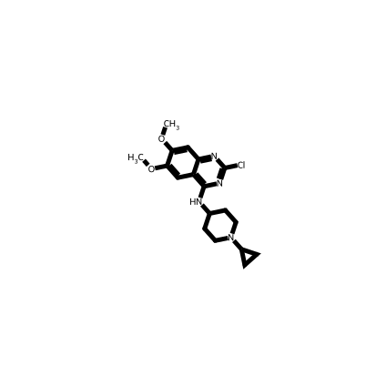 COc1cc2nc(Cl)nc(NC3CCN(C4CC4)CC3)c2cc1OC